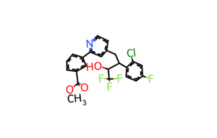 COC(=O)c1cccc(-c2cc(CC(c3ccc(F)cc3Cl)C(O)C(F)(F)F)ccn2)c1